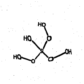 OO[Si](O)(OO)OO